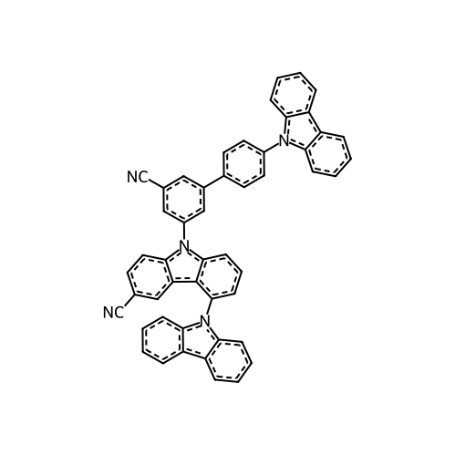 N#Cc1cc(-c2ccc(-n3c4ccccc4c4ccccc43)cc2)cc(-n2c3ccc(C#N)cc3c3c(-n4c5ccccc5c5ccccc54)cccc32)c1